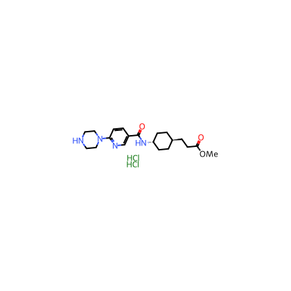 COC(=O)CC[C@H]1CC[C@H](NC(=O)c2ccc(N3CCNCC3)nc2)CC1.Cl.Cl